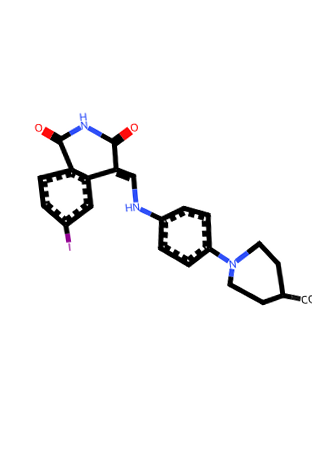 O=C1NC(=O)c2ccc(I)cc2C1=CNc1ccc(N2CCC(C(=O)O)CC2)cc1